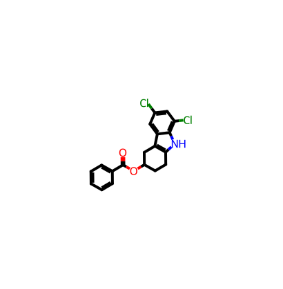 O=C(OC1CCc2[nH]c3c(Cl)cc(Cl)cc3c2C1)c1ccccc1